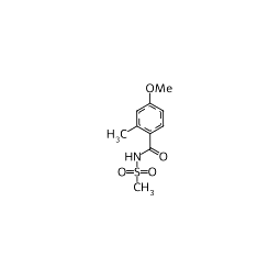 COc1ccc(C(=O)NS(C)(=O)=O)c(C)c1